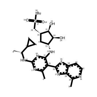 Cc1nc(N[C@H](C)C2CC2)nc(N[C@@H]2C[C@H](CS(=O)(=O)C(C)(C)C)[C@@H](O)[C@H]2O)c1-c1nc2c(C)nccc2s1